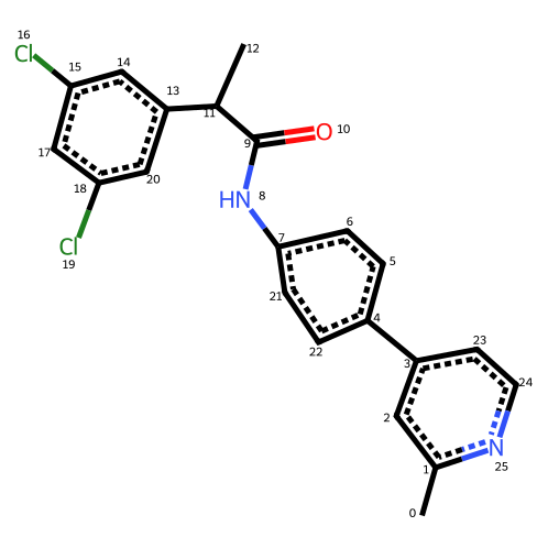 Cc1cc(-c2ccc(NC(=O)C(C)c3cc(Cl)cc(Cl)c3)cc2)ccn1